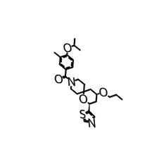 CCCO[C@H]1C[C@@H](c2cncs2)OC2(CCN(C(=O)c3ccc(OC(C)C)c(C)c3)CC2)C1